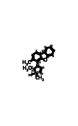 Cc1ccc2c(oc3ccccc32)c1N1C=C[N+](C)(I)[C@@H]1C